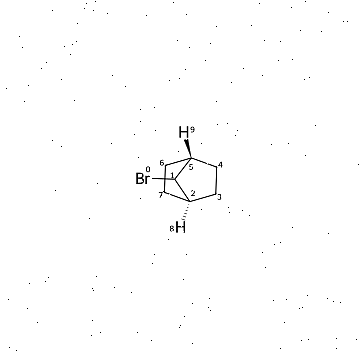 BrC1[C@H]2CC[C@H]1CC2